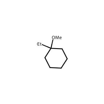 C[CH]C1(OC)CCCCC1